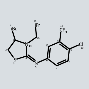 CCC(C)C1CSC(=Nc2ccc(Cl)c(C(F)(F)F)c2)N1CC(C)C